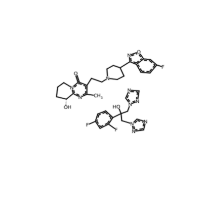 Cc1nc2n(c(=O)c1CCN1CCC(c3noc4cc(F)ccc34)CC1)CCC[C@H]2O.OC(Cn1cncn1)(Cn1cncn1)c1ccc(F)cc1F